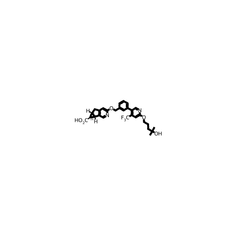 CC(C)(O)CCCOc1cc(C(F)(F)F)c(-c2cccc(COc3cc4c(cn3)[C@H]3[C@@H](C4)[C@@H]3C(=O)O)c2)cn1